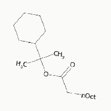 CCCCCCCCCC(=O)OC(C)(C)C1CCCCC1